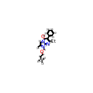 CCc1nc2n(COCC[Si](C)(C)C)c(C)cn2c(=O)c1-c1ccccc1